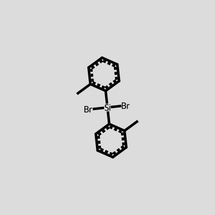 Cc1ccccc1[Si](Br)(Br)c1ccccc1C